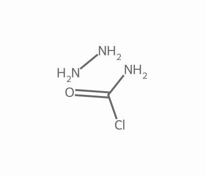 NC(=O)Cl.NN